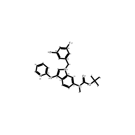 CN(C(=O)OC(C)(C)C)c1ccc2c(Sc3ccccn3)cn(Cc3cc(F)cc(F)c3)c2c1